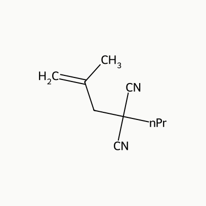 C=C(C)CC(C#N)(C#N)CCC